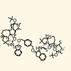 C[C@@H](C(=S)N[C@H]1CCS[C@H]2CC(C)(C)[C@@H](C(=O)N[C@H]3c4ccccc4C[C@H]3OCc3ccc(CO[C@@H]4Cc5ccccc5[C@@H]4NC(=S)[C@H]4N5C(=O)[C@@H](NC(=S)[C@H](C)N(C)C(=O)OC(C)(C)C)CCS[C@H]5CC4(C)C)cc3)N2C1=O)N(C)C(=O)OC(C)(C)C